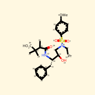 COc1ccc(S(=O)(=O)N(CC(C)C)CC(O)[C@H](Cc2ccccc2)NC(=O)C(C)C(C)(C)C(=O)O)cc1